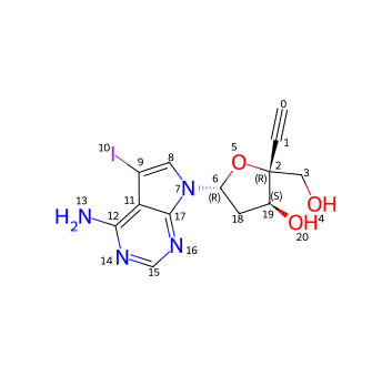 C#C[C@]1(CO)O[C@@H](n2cc(I)c3c(N)ncnc32)C[C@@H]1O